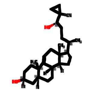 CC[C@]1(O)CC[C@]2(C)C3=CC[C@]4(C)[C@@H]([C@H](C)CC[C@H](O)C5(C#N)CC5)CC[C@H]4[C@@H]3CC[C@H]2C1